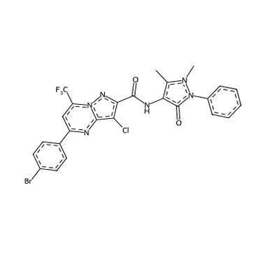 Cc1c(NC(=O)c2nn3c(C(F)(F)F)cc(-c4ccc(Br)cc4)nc3c2Cl)c(=O)n(-c2ccccc2)n1C